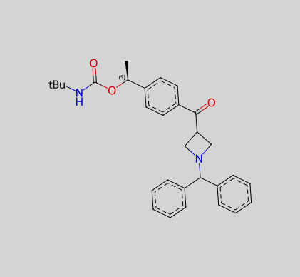 C[C@H](OC(=O)NC(C)(C)C)c1ccc(C(=O)C2CN(C(c3ccccc3)c3ccccc3)C2)cc1